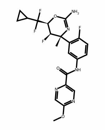 COc1cnc(C(=O)Nc2ccc(F)c([C@@]3(C)N=C(N)O[C@H](C(F)(F)C4CC4)[C@@H]3F)c2)cn1